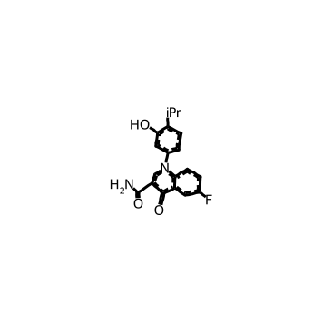 CC(C)c1ccc(-n2cc(C(N)=O)c(=O)c3cc(F)ccc32)cc1O